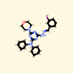 Ic1cccc(C=NNc2nc(N3CCOCC3)nc(N(c3ccccc3)c3ccccc3)n2)c1